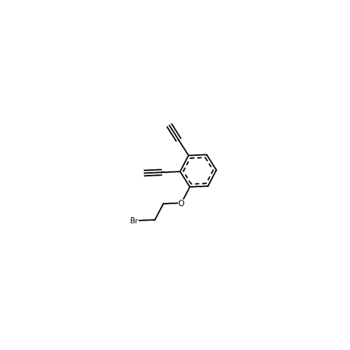 C#Cc1cccc(OCCBr)c1C#C